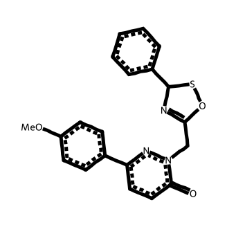 COc1ccc(-c2ccc(=O)n(CC3=NC(c4ccccc4)SO3)n2)cc1